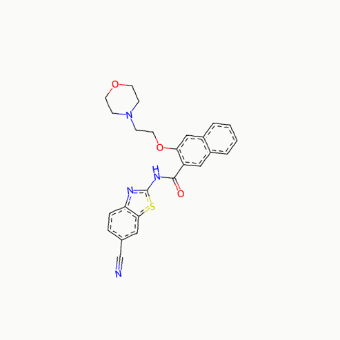 N#Cc1ccc2nc(NC(=O)c3cc4ccccc4cc3OCCN3CCOCC3)sc2c1